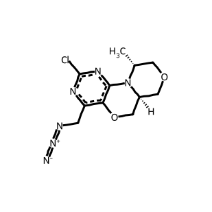 C[C@@H]1COC[C@H]2COc3c(CN=[N+]=[N-])nc(Cl)nc3N21